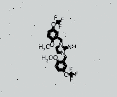 COc1ccc(OC(F)(F)F)cc1CN1CCN(Cc2cc(OC(F)(F)F)ccc2OC)C1=N